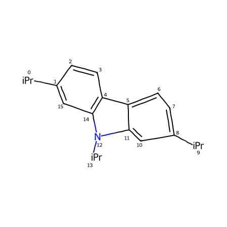 CC(C)c1ccc2c3ccc(C(C)C)cc3n(C(C)C)c2c1